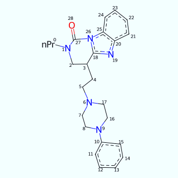 CCCN1CC(CCN2CCN(c3ccccc3)CC2)c2nc3ccccc3n2C1=O